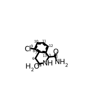 NC(=O)C1NCCc2c(Cl)cccc21.O